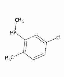 CPc1cc(Cl)ccc1C